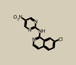 O=[N+]([O-])c1cnc(Nc2nccc3ccc(Cl)cc23)nc1